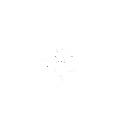 CCOC=O.Cc1cc2nccc(O)c2cc1Cl